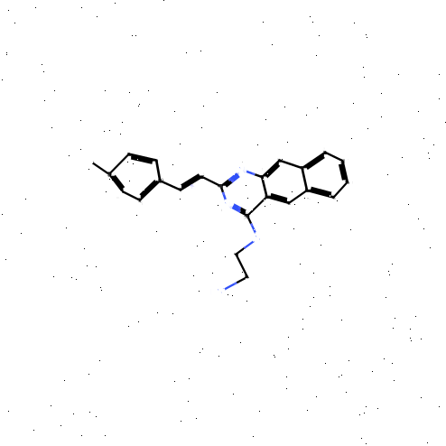 Cc1ccc(/C=C/c2nc(NCCN)c3cc4ccccc4cc3n2)cc1